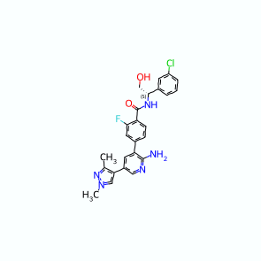 Cc1nn(C)cc1-c1cnc(N)c(-c2ccc(C(=O)N[C@H](CO)c3cccc(Cl)c3)c(F)c2)c1